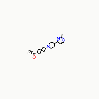 Cc1nccc(C2CCN([C@H]3CC4(C[C@H](C(=O)C(C)C)C4)C3)CC2)n1